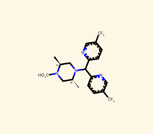 C[C@@H]1CN(C(=O)O)[C@@H](C)CN1C(c1ccc(C(F)(F)F)cn1)c1ccc(C(F)(F)F)cn1